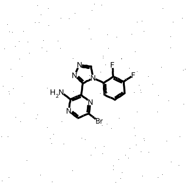 Nc1ncc(Br)nc1-c1nncn1-c1cccc(F)c1F